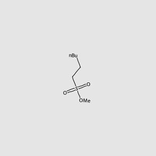 [CH2]CCCCCS(=O)(=O)OC